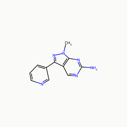 Cn1nc(-c2cccnc2)c2cnc(N)nc21